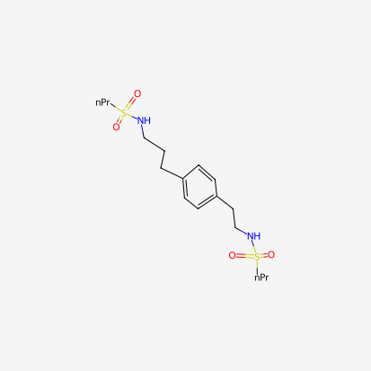 CCCS(=O)(=O)NCCCc1ccc(CCNS(=O)(=O)CCC)cc1